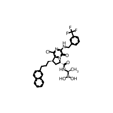 C[C@H](NC(=O)[C@@H]1C[C@@H](CCCc2ccc3ccccc3c2)c2c(Cl)nc(NCc3cccc(C(F)(F)F)c3)c(=O)n21)B(O)O